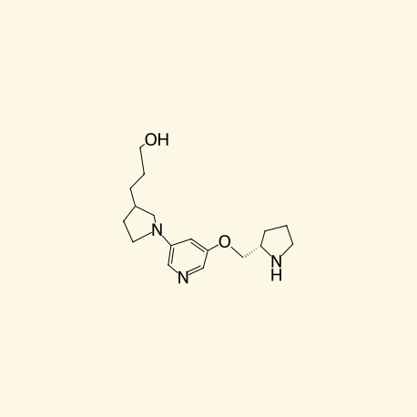 OCCCC1CCN(c2cncc(OC[C@@H]3CCCN3)c2)C1